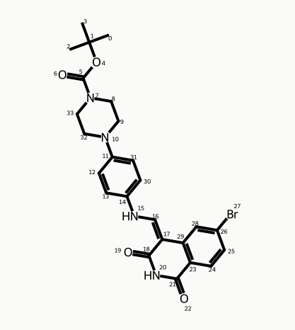 CC(C)(C)OC(=O)N1CCN(c2ccc(N/C=C3\C(=O)NC(=O)c4ccc(Br)cc43)cc2)CC1